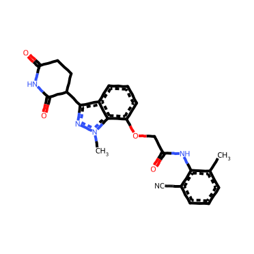 Cc1cccc(C#N)c1NC(=O)COc1cccc2c(C3CCC(=O)NC3=O)nn(C)c12